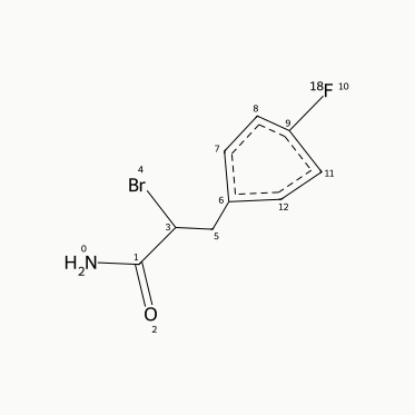 NC(=O)C(Br)Cc1ccc([18F])cc1